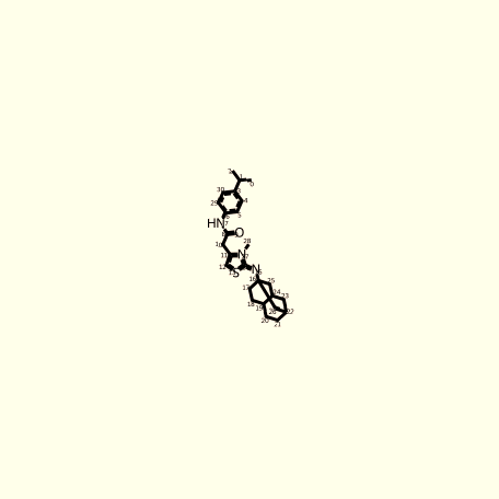 CC(C)c1ccc(NC(=O)Cc2cs/c(=N\C34CCC5CCC(CC5C3)C4)n2C)cc1